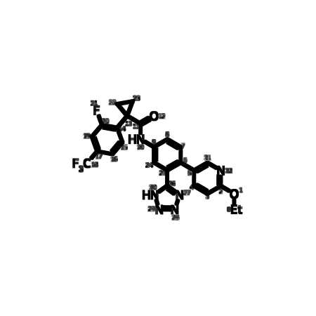 CCOc1ccc(-c2ccc(NC(=O)C3(c4ccc(C(F)(F)F)cc4F)CC3)cc2-c2nnn[nH]2)cn1